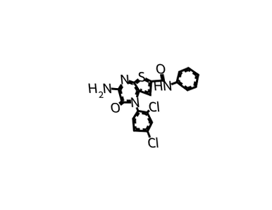 Nc1nc2sc(C(=O)Nc3ccccc3)cc2n(-c2ccc(Cl)cc2Cl)c1=O